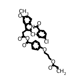 C=CC(=O)OCCCOc1ccc(C(=O)OC(=O)Cc2c(C)n(C(=O)c3ccc(Cl)cc3)c3ccc(OC)cc23)cc1